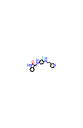 O=C1Nc2ccccc2C1=CNc1ccc(NCCc2cccnc2)c(F)c1